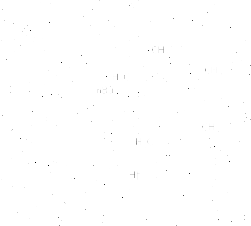 CCCCC1(C2(C)C(C)=C(C)C(C)=C2C)C=Cc2ccc3c(c21)CCCC3.[Hf]